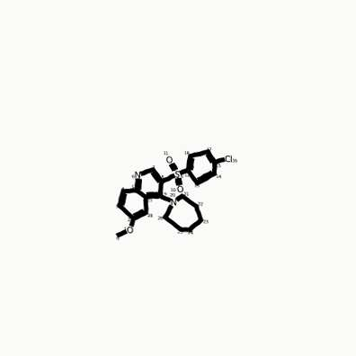 COc1ccc2ncc(S(=O)(=O)c3ccc(Cl)cc3)c(N3CCCCCC3)c2c1